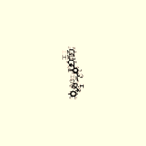 O=C(NC[C@H](NS(=O)(=O)c1ccccc1)C(=O)O)c1ccc(N2CCC(NC3=NCCCN3)CC2)c(F)c1